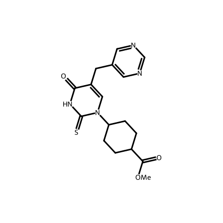 COC(=O)C1CCC(n2cc(Cc3cncnc3)c(=O)[nH]c2=S)CC1